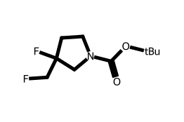 CC(C)(C)OC(=O)N1CCC(F)(CF)C1